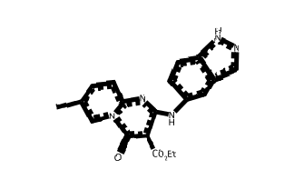 CCOC(=O)c1c(Nc2ccc3[nH]ncc3c2)nc2ccc(C)cn2c1=O